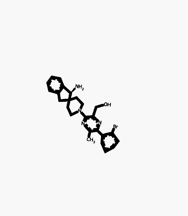 Cc1nc(N2CCC3(CC2)Cc2ccccc2[C@H]3N)c(CO)nc1-c1ccccc1Br